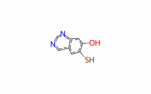 Oc1cc2ncncc2cc1S